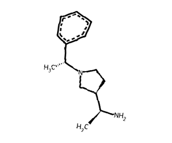 C[C@H](N)[C@@H]1CCN([C@H](C)c2ccccc2)C1